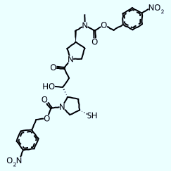 CN(C[C@H]1CCN(C(=O)CC(O)[C@@H]2C[C@H](S)CN2C(=O)OCc2ccc([N+](=O)[O-])cc2)C1)C(=O)OCc1ccc([N+](=O)[O-])cc1